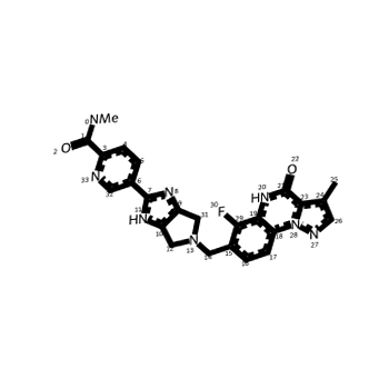 CNC(=O)c1ccc(-c2nc3c([nH]2)CN(Cc2ccc4c([nH]c(=O)c5c(C)cnn54)c2F)C3)cn1